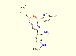 C[Si](C)(C)CCOCn1cc(-c2ccc(NC(=O)O)cc2N)nc1C(=O)c1ccc(Br)cn1